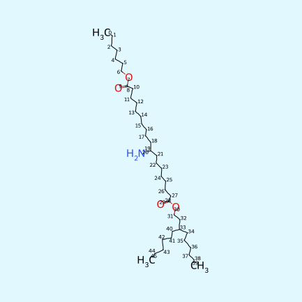 CCCCCCCOC(=O)CCCCCCCCCC(N)CCCCCCCC(=O)OCCC(CCCCCC)CCCCCC